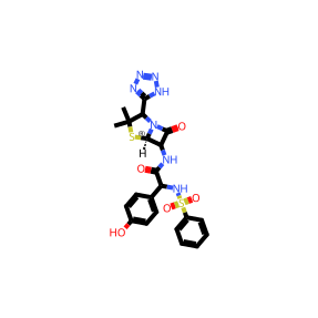 CC1(C)S[C@@H]2C(NC(=O)C(NS(=O)(=O)c3ccccc3)c3ccc(O)cc3)C(=O)N2C1c1nnn[nH]1